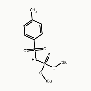 Cc1ccc(S(=O)(=O)NP(=S)(OC(C)(C)C)OC(C)(C)C)cc1